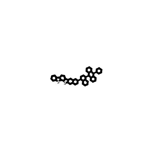 c1ccc(-c2c3ccccc3c(-c3ccc(-c4ccc5cc6sc7c(ccc8c9ccccc9sc87)c6cc5c4)c4ccccc34)c3ccccc23)cc1